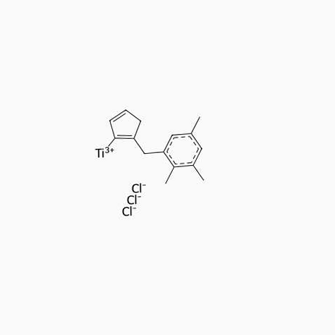 Cc1cc(C)c(C)c(CC2=[C]([Ti+3])C=CC2)c1.[Cl-].[Cl-].[Cl-]